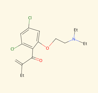 C=C(CC)C(=O)c1c(Cl)cc(Cl)cc1OCCN(CC)CC